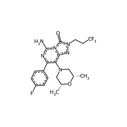 C[C@@H]1CN(c2c(-c3ccc(F)cc3)nc(N)n3c(=O)n(CCC(F)(F)F)nc23)C[C@H](C)O1